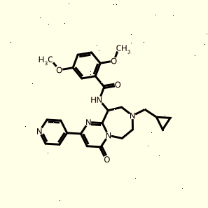 COc1ccc(OC)c(C(=O)NC2CN(CC3CC3)CCn3c2nc(-c2ccncc2)cc3=O)c1